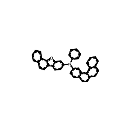 c1ccc(N(c2ccc3c(c2)oc2c4ccccc4ccc32)c2ccc3ccc4ccc5ccccc5c4c3c2)cc1